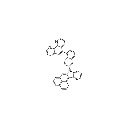 C1=Cc2cccc3cc4c(c(c23)C1)c1ccccc1n4-c1ccc2c(-c3cc4cccnc4c4ncccc34)cccc2c1